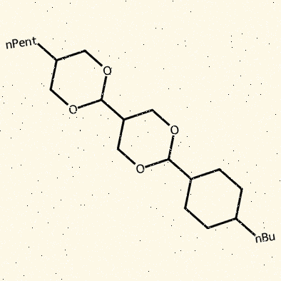 CCCCCC1COC(C2COC(C3CCC(CCCC)CC3)OC2)OC1